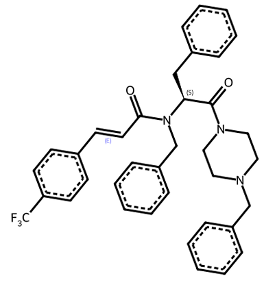 O=C([C@H](Cc1ccccc1)N(Cc1ccccc1)C(=O)/C=C/c1ccc(C(F)(F)F)cc1)N1CCN(Cc2ccccc2)CC1